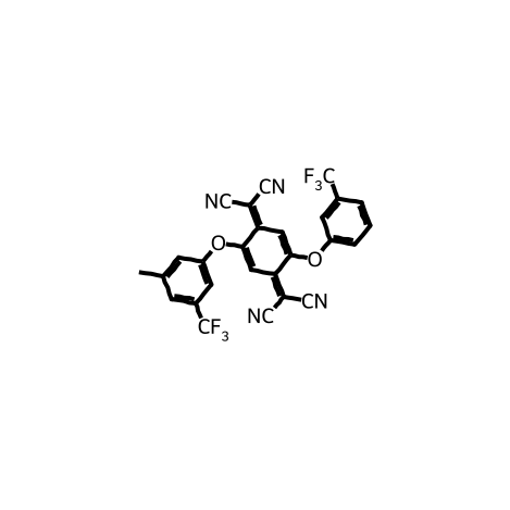 Cc1cc(Oc2cc(=C(C#N)C#N)c(Oc3cccc(C(F)(F)F)c3)cc2=C(C#N)C#N)cc(C(F)(F)F)c1